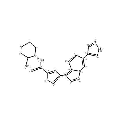 N[C@H]1CCCC[C@@H]1NC(=O)c1cc(-c2cnn3cc(-c4cn[nH]c4)cnc23)cs1